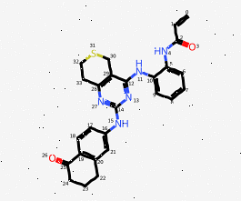 C=CC(=O)Nc1ccccc1Nc1nc(Nc2ccc3c(c2)CCCC3=O)nc2c1CSCC2